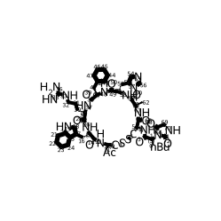 CCCC[C@@H](C(=O)N[C@H]1CSSC[C@@H](C(C)=O)NC(=O)[C@H](Cc2c[nH]c3ccccc23)NC(=O)[C@H](CCCNC(=N)N)NC(=O)[C@@H](Cc2ccccc2)NC(=O)[C@H](Cc2cnc[nH]2)NC(=O)[C@@H](C)NC1=O)N1C(=O)CNC1=O